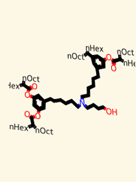 CCCCCCCCC(CCCCCC)C(=O)Oc1cc(CCCCCCN(CCCCO)CCCCCCc2cc(OC(=O)C(CCCCCC)CCCCCCCC)cc(C(CCCCCC)CCCCCCCC)c2)cc(OC(=O)C(CCCCCC)CCCCCCCC)c1